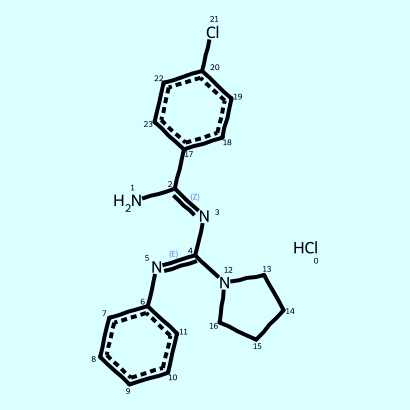 Cl.N/C(=N\C(=N\c1ccccc1)N1CCCC1)c1ccc(Cl)cc1